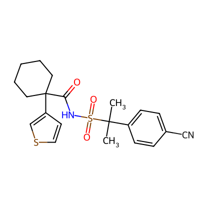 CC(C)(c1ccc(C#N)cc1)S(=O)(=O)NC(=O)C1(c2ccsc2)CCCCC1